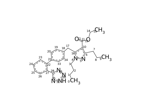 CCCCn1nc(CCC)c(C(=O)OCC)c1Cc1ccc(-c2ccccc2-c2nn[nH]n2)cc1